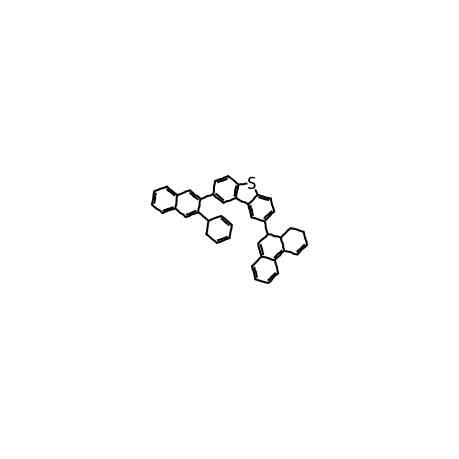 C1=CCC(c2cc3ccccc3cc2-c2ccc3sc4ccc(C5C=c6ccccc6=C6C=CCCC65)cc4c3c2)C=C1